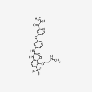 CNCCOc1c(C(F)(F)F)ccc(NC(=O)Nc2cccc(Oc3ccnc(C(=O)NC)c3)c2)c1Cl